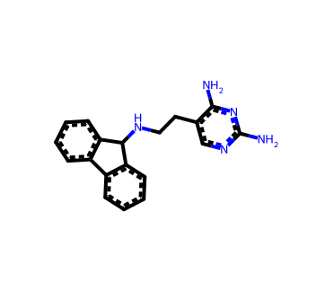 Nc1ncc(CCNC2c3ccccc3-c3ccccc32)c(N)n1